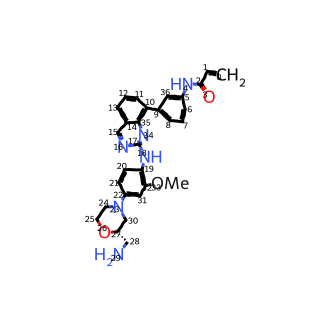 C=CC(=O)Nc1cccc(-c2cccc3cnc(Nc4ccc(N5CCO[C@@H](CN)C5)cc4OC)nc23)c1